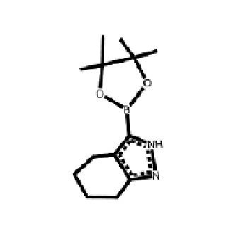 CC1(C)OB(c2[nH]nc3c2CCCC3)OC1(C)C